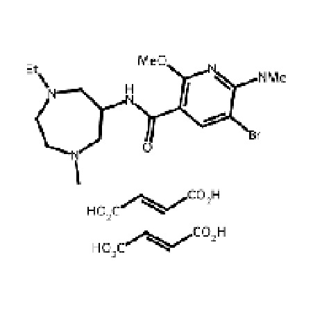 CCN1CCN(C)CC(NC(=O)c2cc(Br)c(NC)nc2OC)C1.O=C(O)C=CC(=O)O.O=C(O)C=CC(=O)O